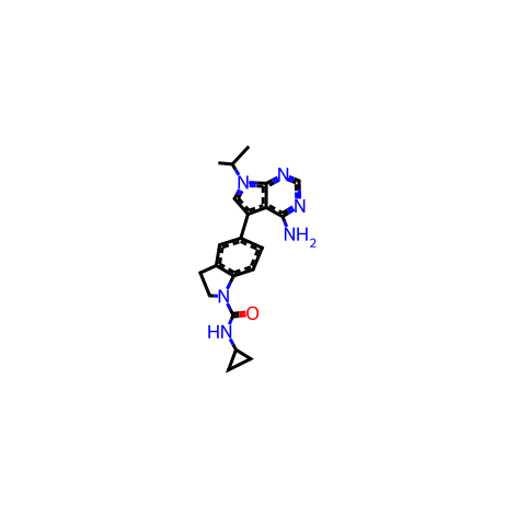 CC(C)n1cc(-c2ccc3c(c2)CCN3C(=O)NC2CC2)c2c(N)ncnc21